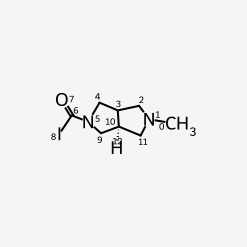 CN1CC2CN(C(=O)I)C[C@@H]2C1